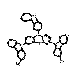 N#Cc1ccc2c(c1)c1ccccc1n2-c1ccc2c(c1)Sc1cc(-n3c4ccccc4c4cc(C#N)ccc43)ccc1N2c1ccc2sc3ccccc3c2c1